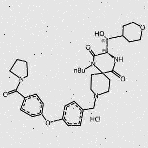 CCCCN1C(=O)[C@@H]([C@H](O)C2CCOCC2)NC(=O)C12CCN(Cc1ccc(Oc3ccc(C(=O)N4CCCC4)cc3)cc1)CC2.Cl